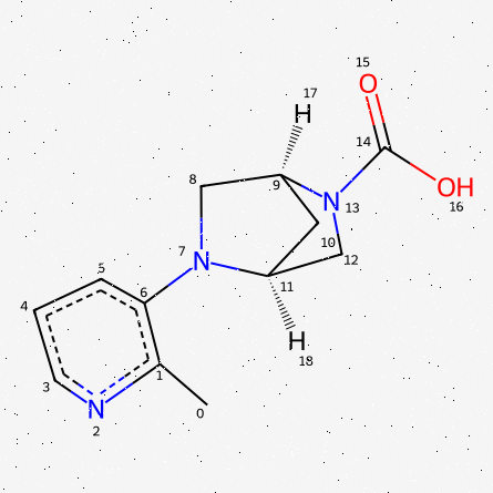 Cc1ncccc1N1C[C@@H]2C[C@H]1CN2C(=O)O